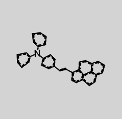 C(=Cc1ccc2ccc3cccc4ccc1c2c34)c1ccc(N(c2ccccc2)c2ccccc2)cc1